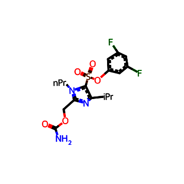 CCCn1c(COC(N)=O)nc(C(C)C)c1S(=O)(=O)Oc1cc(F)cc(F)c1